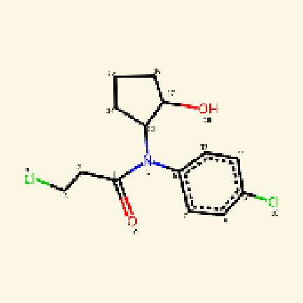 O=C(CCCl)N(c1ccc(Cl)cc1)C1CCCC1O